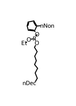 CCCCCCCCCCCCCCCCCCOP(OCC)Oc1ccccc1CCCCCCCCC